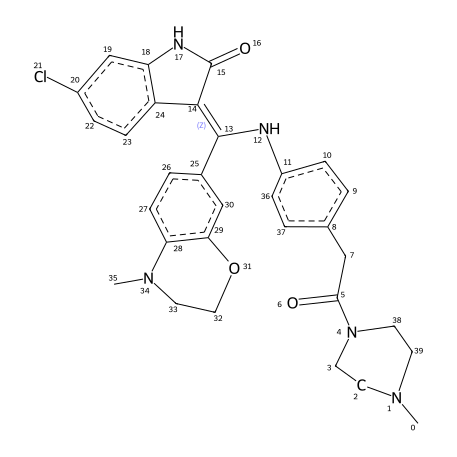 CN1CCN(C(=O)Cc2ccc(N/C(=C3\C(=O)Nc4cc(Cl)ccc43)c3ccc4c(c3)OCCN4C)cc2)CC1